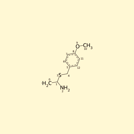 [CH2]C(N)SCc1ccc(OC)cc1